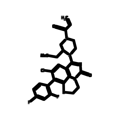 C=CC(=O)N1CCN(c2nc(=O)n3c4c(c(-c5ccc(F)cc5F)c(Cl)cc24)SCC3)C(CSC)C1